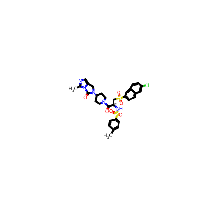 Cc1ccc(S(=O)(=O)N[C@H](CS(=O)(=O)c2ccc3cc(Cl)ccc3c2)C(=O)N2CCC(N3Cc4cnc(C)n4C3=O)CC2)cc1